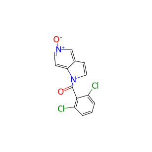 O=C(c1c(Cl)cccc1Cl)n1ccc2c[n+]([O-])ccc21